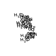 COC(=O)NC(C(=O)N1CCC[C@H]1c1ncc(-c2ccc3c(c2)cc2n3C(c3cnc(C(C)(C)C)s3)Oc3cc(-c4cnc([C@@H]5CCCN5C(=O)[C@@H](NC(=O)OC)C(C)C)[nH]4)cc(F)c3-2)[nH]1)C1CCOC(C)(C)C1